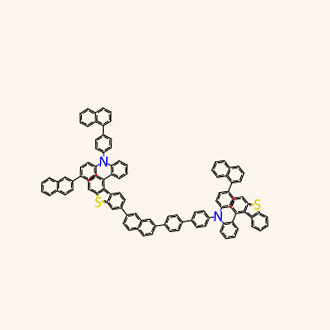 c1ccc(N(c2ccc(-c3ccc(-c4ccc5ccc(-c6ccc7c(c6)sc6cccc(-c8ccccc8N(c8ccc(-c9ccc%10ccccc%10c9)cc8)c8ccc(-c9cccc%10ccccc9%10)cc8)c67)cc5c4)cc3)cc2)c2ccc(-c3cccc4ccccc34)cc2)c(-c2cccc3sc4ccccc4c23)c1